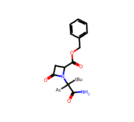 CC(=O)C(C(N)=O)(N1C(=O)CC1C(=O)OCc1ccccc1)C(C)(C)C